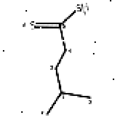 CC(C)CCC(=S)S